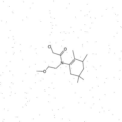 COCCN(C(=O)CCl)C1=C(C)C(C)CC(C)(C)C1